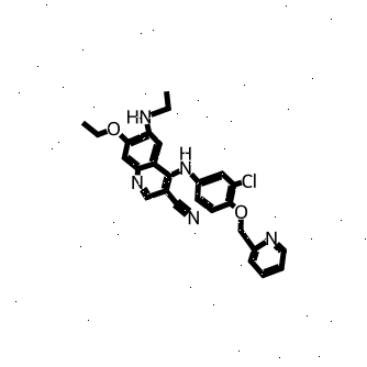 CCNc1cc2c(Nc3ccc(OCc4ccccn4)c(Cl)c3)c(C#N)cnc2cc1OCC